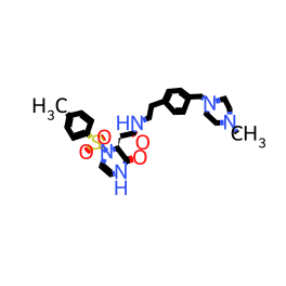 Cc1ccc(S(=O)(=O)N2C=CNC(=O)[C@H]2CC(=O)NCCc2ccc(CN3CCN(C)CC3)cc2)cc1